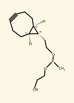 CP(OCCC#N)OCC[C@H]1[C@@H]2CCC#CCC[C@@H]21